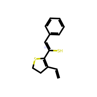 C=CC1=C(/C(S)=C/c2ccccc2)SCC1